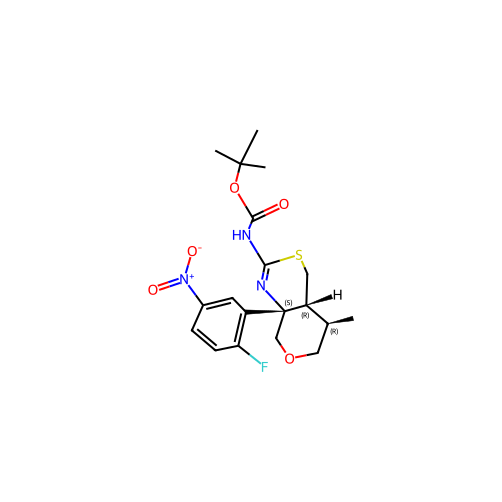 C[C@H]1COC[C@]2(c3cc([N+](=O)[O-])ccc3F)N=C(NC(=O)OC(C)(C)C)SC[C@H]12